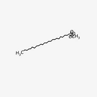 CCCCCCCCCCCCCCCCCCCCCCCCS(=O)(=O)OC